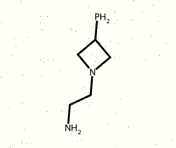 NCCN1CC(P)C1